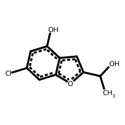 CC(O)c1cc2c(O)cc(Cl)cc2o1